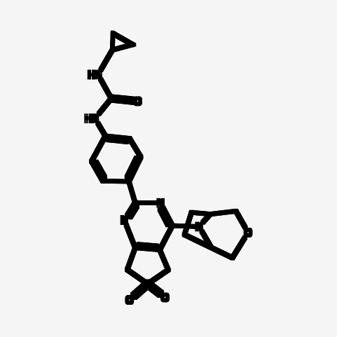 O=C(Nc1ccc(-c2nc3c(c(N4C5CCC4COC5)n2)CS(=O)(=O)C3)cc1)NC1CC1